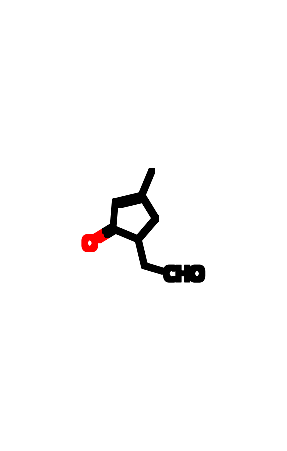 CC1=CC(=O)C(CC=O)C1